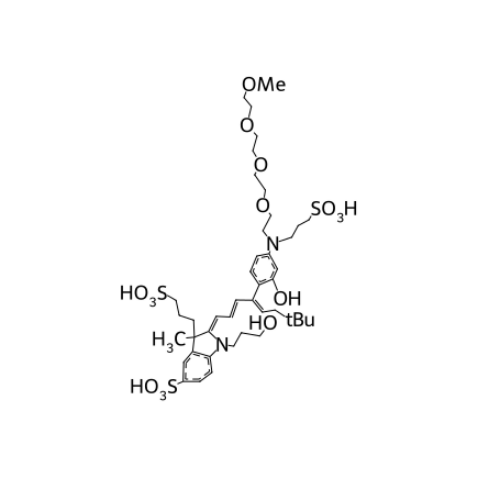 COCCOCCOCCOCCN(CCCS(=O)(=O)O)c1ccc(C(=C\CC(C)(C)C)/C=C/C=C2\N(CCCO)c3ccc(S(=O)(=O)O)cc3C2(C)CCCS(=O)(=O)O)c(O)c1